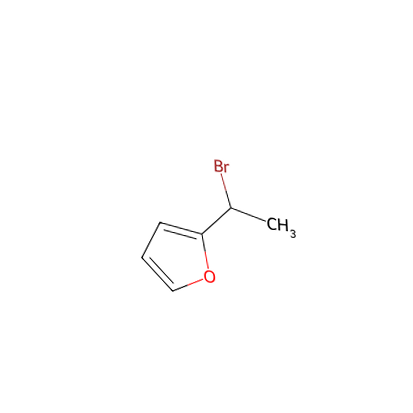 CC(Br)c1ccco1